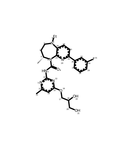 CCN1CC[C@@H](C)N(C(=O)Nc2nc(C)cc(OCC(O)CO)n2)c2nc(-c3cccc(F)c3)ccc21